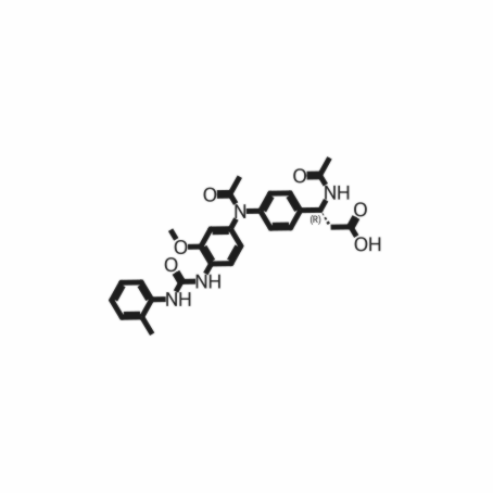 COc1cc(N(C(C)=O)c2ccc([C@@H](CC(=O)O)NC(C)=O)cc2)ccc1NC(=O)Nc1ccccc1C